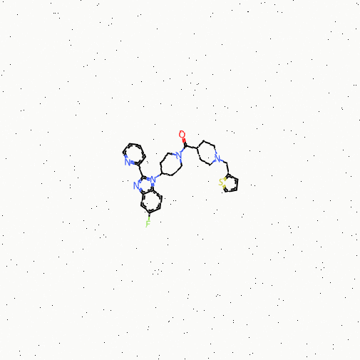 O=C(C1CCN(Cc2cccs2)CC1)N1CCC(n2c(-c3ccccn3)nc3cc(F)ccc32)CC1